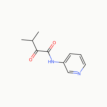 CC(C)C(=O)C(=O)Nc1cccnc1